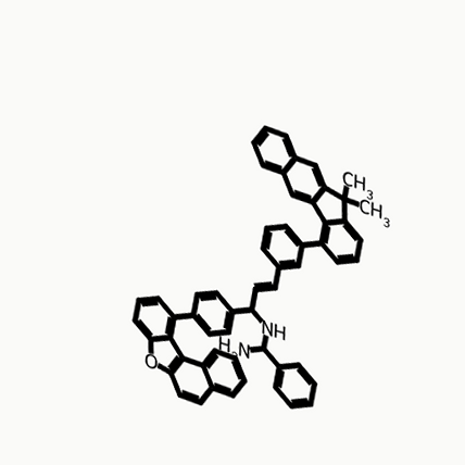 CC1(C)c2cc3ccccc3cc2-c2c(-c3cccc(/C=C/C(NC(N)c4ccccc4)c4ccc(-c5cccc6oc7ccc8ccccc8c7c56)cc4)c3)cccc21